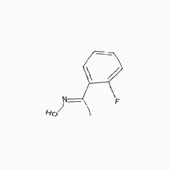 C/C(=N\O)c1ccccc1F